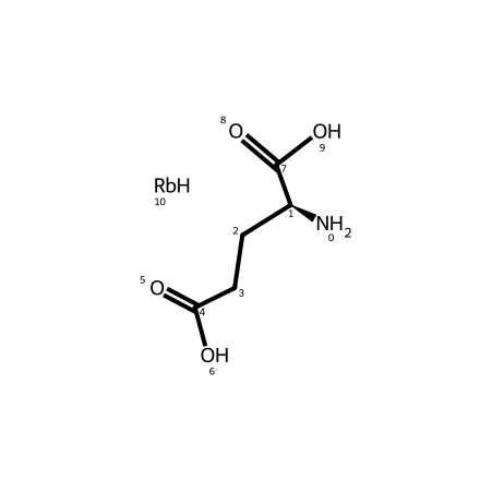 N[C@@H](CCC(=O)O)C(=O)O.[RbH]